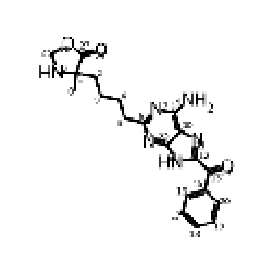 CC1(CCCCc2nc(N)c3nc(C(=O)c4ccccc4)[nH]c3n2)NCOC1=O